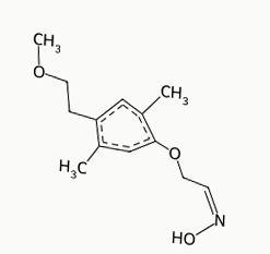 COCCc1cc(C)c(OC/C=N\O)cc1C